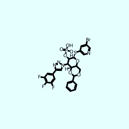 O=P(O)(O)OC1C(n2cc(-c3cc(F)c(F)c(F)c3)nn2)[C@H]2OC(c3ccccc3)OCC2O[C@@H]1Sc1cncc(Br)c1